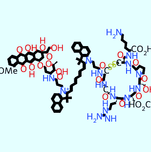 COc1cccc2c1C(=O)c1c(O)c3c(c(O)c1C2=O)C[C@@](O)(C(=O)CO)C[C@@H]3O[C@H]1C[C@H](NC(=O)CC[N+]2=C(/C=C/C=C/C=C/C=C3/N(CCC(=O)N[C@@H]4CSSC[C@@H](C(=O)NC(CCCCN)C(=O)O)NC(=O)C5CCCN5C(=O)[C@H](CO)NC(=O)[C@H](CC(=O)O)NC(=O)[C@H](CCCNC(=N)N)NC(=O)CNC4=O)c4ccc5ccccc5c4C3(C)C)C(C)(C)c3c2ccc2ccccc32)[C@H](O)[C@H](C)O1